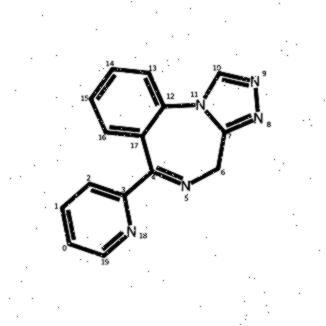 c1ccc(C2=NCc3nncn3-c3ccccc32)nc1